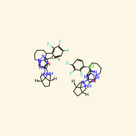 Cc1cc(N2C[C@H]3CC[C@@H](C2)[C@H]3Nc2nc3n(n2)CCCCC3c2ccc(F)c(F)c2F)cnn1.Fc1ccc([C@H]2CCCCn3nc(N[C@H]4[C@@H]5CC[C@H]4CN(c4cnnc(Cl)c4)C5)nc32)c(F)c1F